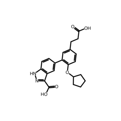 O=C(O)CCc1ccc(OC2CCCC2)c(-c2ccc3[nH]nc(C(=O)O)c3c2)c1